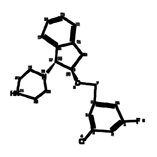 Fc1cc(Cl)cc(CO[C@@H]2Cc3ccccc3[C@H]2N2CCNCC2)c1